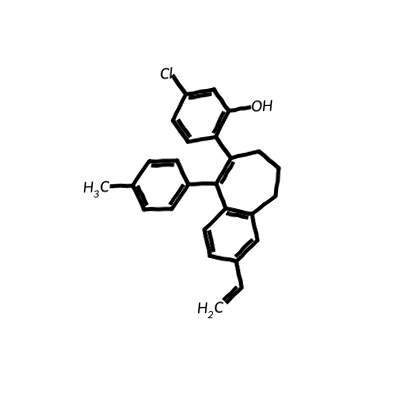 C=Cc1ccc2c(c1)CCCC(c1ccc(Cl)cc1O)=C2c1ccc(C)cc1